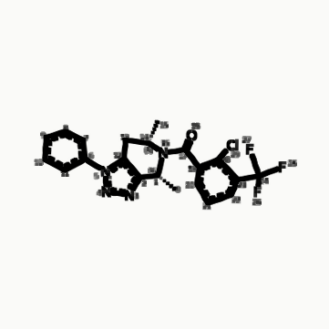 C[C@@H]1c2nnn(-c3ccccc3)c2C[C@H](C)N1C(=O)c1cccc(C(F)(F)F)c1Cl